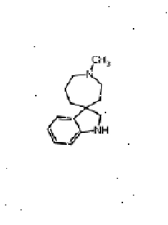 CN1CCCC2(CC1)CNc1ccccc12